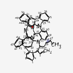 C=CC1c2ccccc2C2=CC(CCC=C2)N(c2cccc(-n3c4ccccc4c4ccccc43)c2-c2nc(-c3ccccc3)nc(-c3ccccc3)n2)C1C/C=C\C